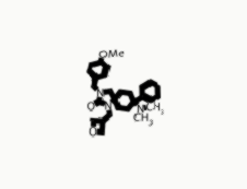 COc1ccc(CN2CC3(CCC(c4ccccc4)(N(C)C)CC3)N(CC3COC3)C2=O)cc1